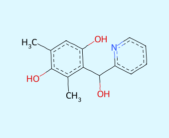 Cc1cc(O)c(C(O)c2ccccn2)c(C)c1O